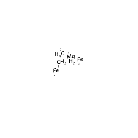 C.C.[Fe].[Fe].[MgH2]